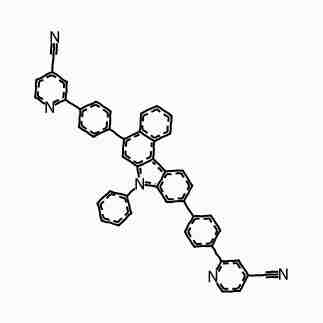 N#Cc1ccnc(-c2ccc(-c3ccc4c5c6ccccc6c(-c6ccc(-c7cc(C#N)ccn7)cc6)cc5n(-c5ccccc5)c4c3)cc2)c1